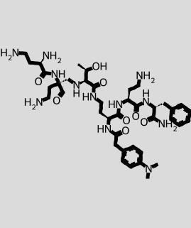 C[C@@H](O)[C@H](NC[C@](C=O)(CCN)NC(=O)[C@@H](N)CCN)C(=O)NCC[C@H](NC(=O)Cc1ccc(N(C)C)cc1)C(=O)N[C@@H](CCN)C(=O)N[C@H](Cc1ccccc1)C(N)=O